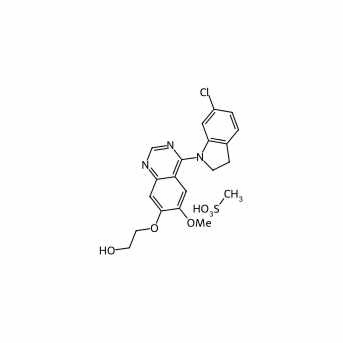 COc1cc2c(N3CCc4ccc(Cl)cc43)ncnc2cc1OCCO.CS(=O)(=O)O